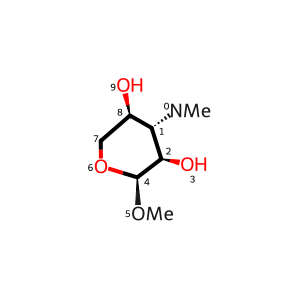 CN[C@@H]1[C@@H](O)[C@@H](OC)OC[C@H]1O